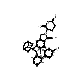 O=C1CCC(N2Cc3cc(CN4C5CC4CN(Cc4ccccc4-c4ccc(Cl)cc4)C5)c(F)cc3C2=O)C(=O)N1